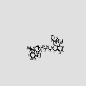 CNN(C=O)Cc1c(C)cccc1CCCCCCN1CCC(C#N)(c2ccccc2Cl)CC1